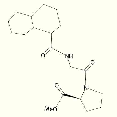 COC(=O)[C@@H]1CCCN1C(=O)CNC(=O)C1CCCC2CCCCC21